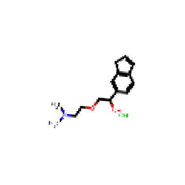 CN(C)CCOCC(O)c1ccc2c(c1)CC=C2.Cl